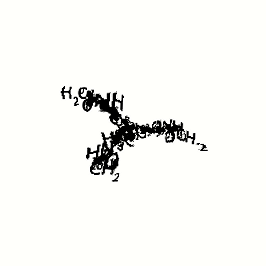 C=CC(=O)NCCOCC(CC)(COCCNC(=O)C=C)COCCOCNC(=O)C=C